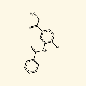 COC(=O)c1ccc(N)c([AsH]C(=O)c2ccccc2)c1